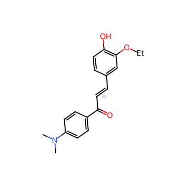 CCOc1cc(/C=C/C(=O)c2ccc(N(C)C)cc2)ccc1O